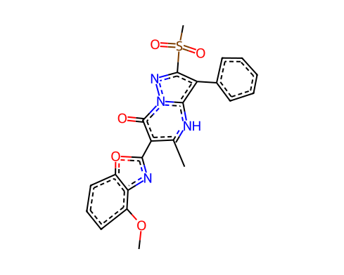 COc1cccc2oc(-c3c(C)[nH]c4c(-c5ccccc5)c(S(C)(=O)=O)nn4c3=O)nc12